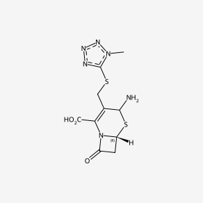 Cn1nnnc1SCC1=C(C(=O)O)N2C(=O)C[C@H]2SC1N